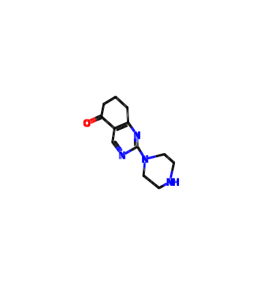 O=C1CCCc2nc(N3CCNCC3)ncc21